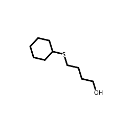 OCCCCSC1CCCCC1